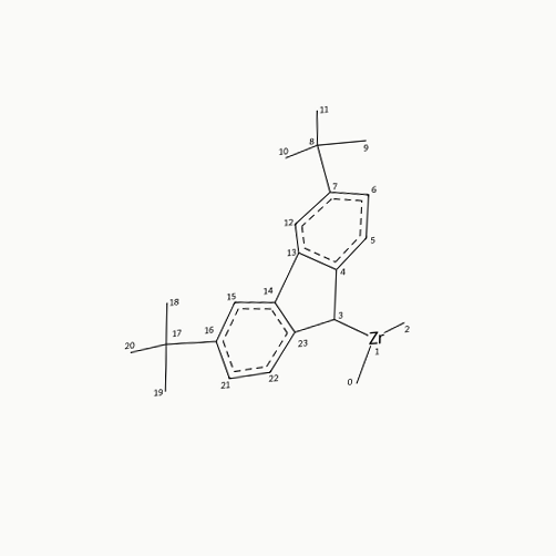 [CH3][Zr]([CH3])[CH]1c2ccc(C(C)(C)C)cc2-c2cc(C(C)(C)C)ccc21